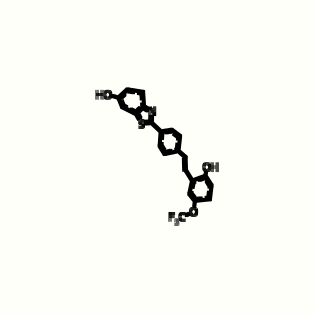 Oc1ccc2nc(-c3ccc(C=Cc4cc(OC(F)(F)F)ccc4O)cc3)sc2c1